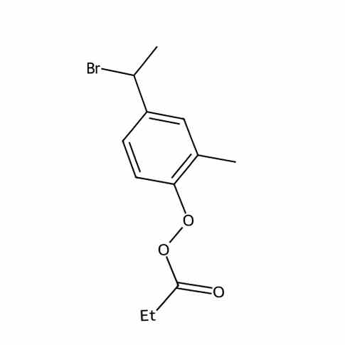 CCC(=O)OOc1ccc(C(C)Br)cc1C